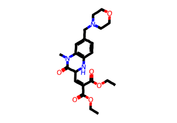 CCOC(=O)C(=CC1Nc2ccc(CN3CCOCC3)cc2N(C)C1=O)C(=O)OCC